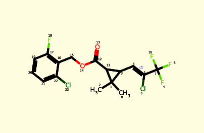 CC1(C)C(/C=C(\Cl)C(F)(F)F)C1C(=O)OCc1c(F)cccc1Cl